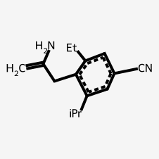 C=C(N)Cc1c(CC)cc(C#N)cc1C(C)C